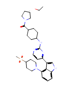 CCO[C@H]1CCN(C(=O)C2CCC(Nc3nccc(-c4c[nH]c5cccc(N6CCC(S(C)(=O)=O)CC6)c45)n3)CC2)C1